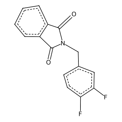 O=C1c2ccccc2C(=O)N1Cc1ccc(F)c(F)c1